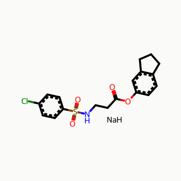 O=C(CCNS(=O)(=O)c1ccc(Cl)cc1)Oc1ccc2c(c1)CCC2.[NaH]